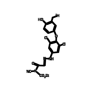 [2H]Cc1cc(Oc2c(Cl)cc(NN=CC(=O)N(C#N)C(=O)OCC)cc2Cl)ccc1O